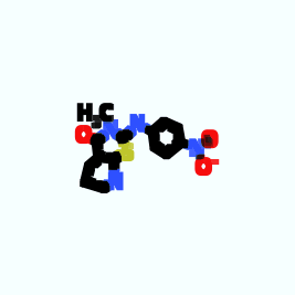 Cn1c(=O)c2cccnc2s/c1=N\c1ccc([N+](=O)[O-])cc1